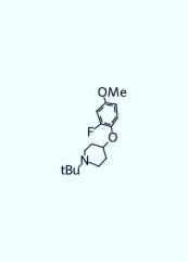 COc1ccc(OC2CCN(C(C)(C)C)CC2)c(F)c1